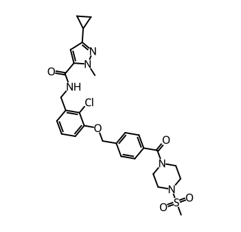 Cn1nc(C2CC2)cc1C(=O)NCc1cccc(OCc2ccc(C(=O)N3CCN(S(C)(=O)=O)CC3)cc2)c1Cl